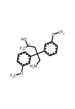 NCC(C[C@H](O)C(F)(F)F)(c1cccc(OC(F)(F)F)c1)c1cccc(OC(F)(F)F)c1